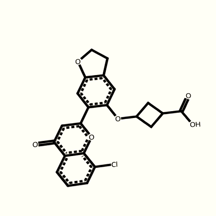 O=C(O)C1CC(Oc2cc3c(cc2-c2cc(=O)c4cccc(Cl)c4o2)OCC3)C1